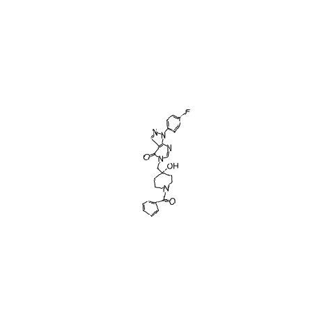 O=C(c1ccccc1)N1CCC(O)(Cn2cnc3c(cnn3-c3ccc(F)cc3)c2=O)CC1